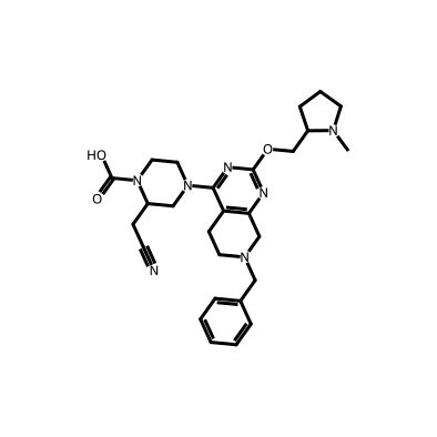 CN1CCCC1COc1nc2c(c(N3CCN(C(=O)O)C(CC#N)C3)n1)CCN(Cc1ccccc1)C2